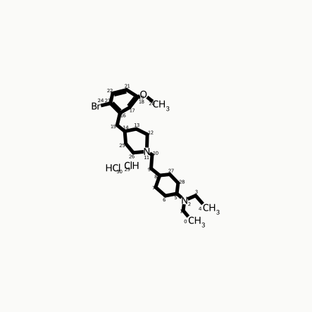 CCN(CC)C1CCC(CCN2CCC(Cc3cc(OC)ccc3Br)CC2)CC1.Cl.Cl